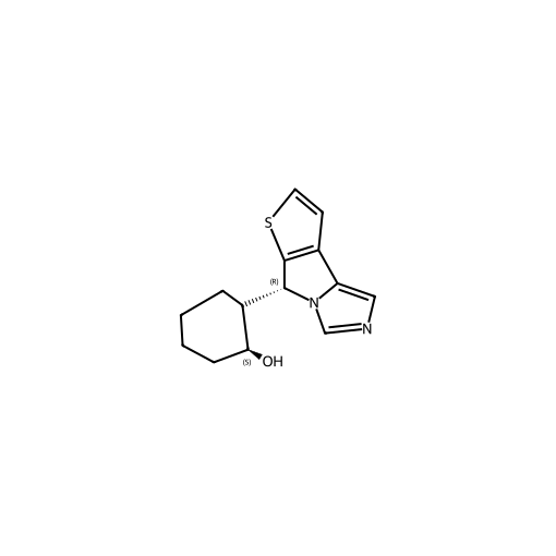 O[C@H]1CCCCC1[C@@H]1c2sccc2-c2cncn21